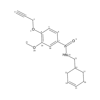 C#CCOc1ccc(C(=O)NCC2CC=CCC2)cc1OC